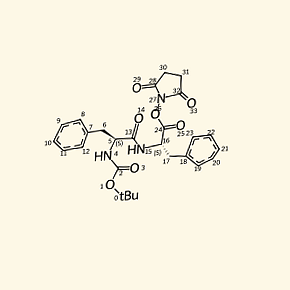 CC(C)(C)OC(=O)N[C@@H](Cc1ccccc1)C(=O)N[C@@H](Cc1ccccc1)C(=O)ON1C(=O)CCC1=O